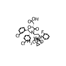 CC[C@@H](CN(c1ccccc1F)S(=O)(=O)C1(C)CC1)N1C(=O)[C@@H](CC(=O)O)O[C@H](c2cccc(Cl)c2)[C@H]1c1ccc(Cl)cc1